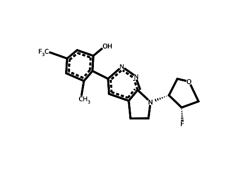 Cc1cc(C(F)(F)F)cc(O)c1-c1cc2c(nn1)N([C@@H]1COC[C@@H]1F)CC2